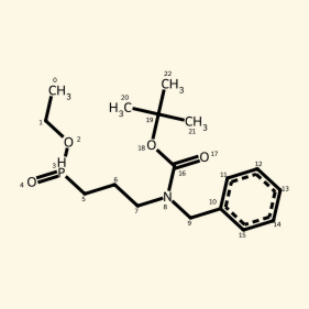 CCO[PH](=O)CCCN(Cc1ccccc1)C(=O)OC(C)(C)C